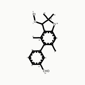 CCOC1c2c(cc(C)c(-c3cccc(C=O)c3)c2C)OC1(C)C